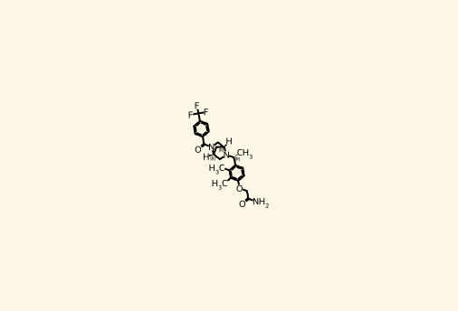 Cc1c(OCC(N)=O)ccc([C@@H](C)N2C[C@H]3C[C@@H]2CN3C(=O)c2ccc(C(F)(F)F)cc2)c1C